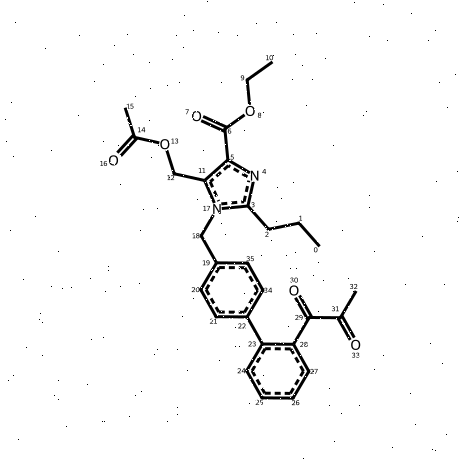 CCCc1nc(C(=O)OCC)c(COC(C)=O)n1Cc1ccc(-c2ccccc2C(=O)C(C)=O)cc1